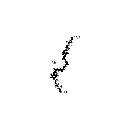 CC(C=CC=C(C)C=CC1=C(C)OC(OC(=O)CNC(=O)NCCCC(=O)O)CC1(C)C)=CC=CC=C(C)C=CC=C(C)C=CC1=C(C)C(=O)C(OC(=O)CNC(=O)NCCCC(=O)O)CC1(C)C.[Na].[Na]